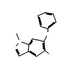 Cn1ncc2cc([N+](=O)[O-])c(Oc3ccccc3)cc21